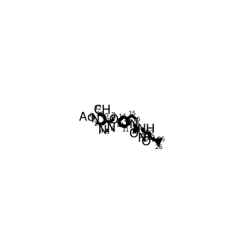 CC(=O)N1Cc2ncnc(Oc3ccc4c(c3)CCN4C(=O)Nc3cc(C4CC4)on3)c2C[C@H]1C